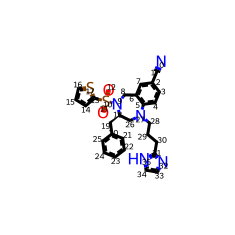 N#Cc1ccc2c(c1)CN(S(=O)(=O)c1cccs1)[C@H](Cc1ccccc1)CN2CCCc1ncc[nH]1